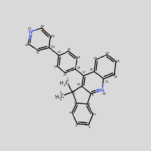 CC1(C)c2ccccc2-c2nc3ccccc3c(-c3ccc(-c4ccncc4)cc3)c21